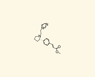 COC(=O)/C=C/c1ccc([C@@H]2CCCN2CCn2ccnc2)cc1